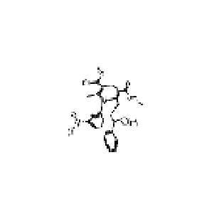 CCOC(=O)C1=C(CCC(O)c2ccccc2)N(c2cccc([N+](=O)[O-])c2)C(C)=C(C(=O)OC)C1